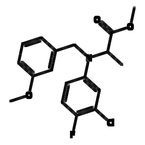 COC(=O)C(C)N(Cc1cccc(OC)c1)c1ccc(F)c(Cl)c1